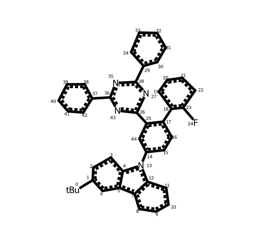 CC(C)(C)c1ccc2c(c1)c1ccccc1n2-c1ccc(-c2ccccc2F)c(-c2nc(-c3ccccc3)nc(-c3ccccc3)n2)c1